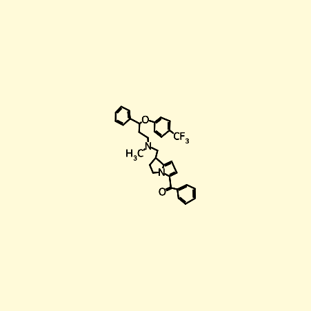 CN(CCC(Oc1ccc(C(F)(F)F)cc1)c1ccccc1)CC1CCn2c(C(=O)c3ccccc3)ccc21